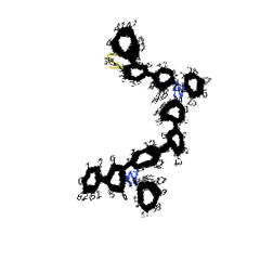 c1ccc(-c2ccc3c(c2)c2ccc(-c4cccc(-c5ccc(N(c6ccccc6)c6ccc(-c7ccc8sc9ccccc9c8c7)cc6)cc5)c4)cc2n3-c2ccccc2)cc1